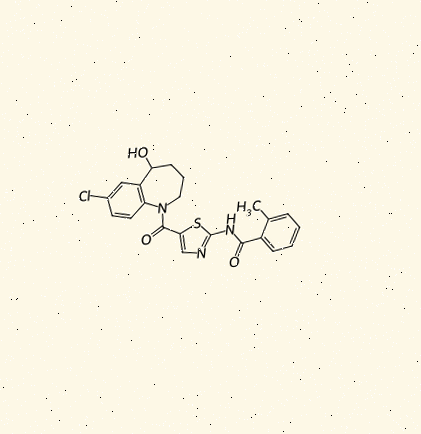 Cc1ccccc1C(=O)Nc1ncc(C(=O)N2CCCC(O)c3cc(Cl)ccc32)s1